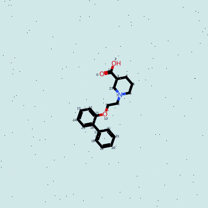 O=C(O)C1CCCN(CCOc2ccccc2-c2ccccc2)C1